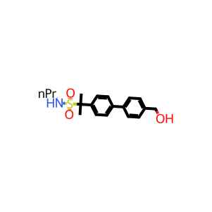 CCCNS(=O)(=O)C(C)(C)c1ccc(-c2ccc(CO)cc2)cc1